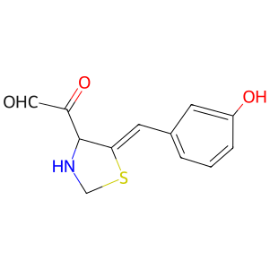 O=CC(=O)C1NCSC1=Cc1cccc(O)c1